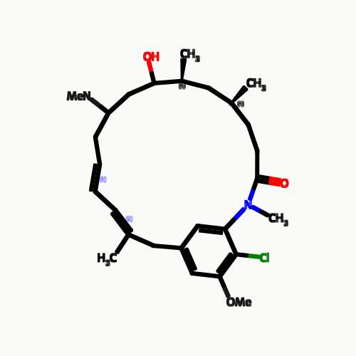 CNC1C/C=C/C=C(\C)Cc2cc(OC)c(Cl)c(c2)N(C)C(=O)CC[C@H](C)C[C@H](C)C(O)C1